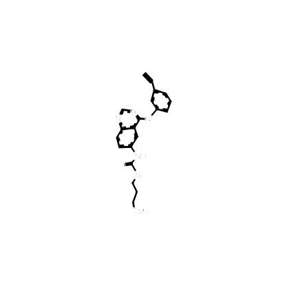 C#Cc1cccc(Nc2ncnc3ccc(NC(=O)NCCCSC)cc23)c1